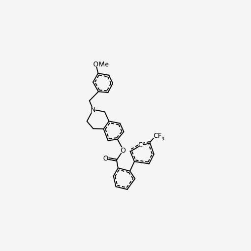 COc1cccc(CN2CCc3cc(OC(=O)c4ccccc4-c4ccc(C(F)(F)F)cc4)ccc3C2)c1